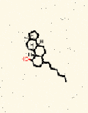 CCCCCCC1CCC(O)[C@H]2C1CC[C@@H]1[C@@H]2CC[C@]2(C)CCC[C@@H]12